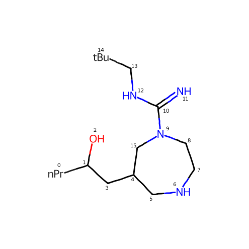 CCCC(O)CC1CNCCN(C(=N)NCC(C)(C)C)C1